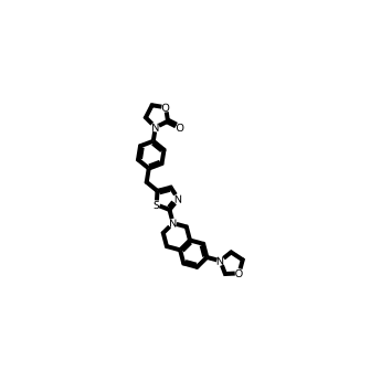 O=C1OCCN1c1ccc(Cc2cnc(N3CCc4ccc(N5CCOC5)cc4C3)s2)cc1